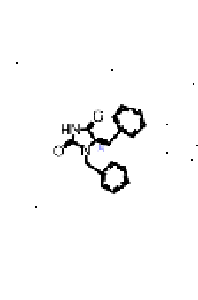 O=C1NC(=O)N(Cc2ccccc2)/C1=C/c1ccccc1